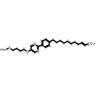 CCCCCCOCCCCOc1cnc(-c2ccc(CCCCCCCC/C=C/C(=O)O)cc2)nc1